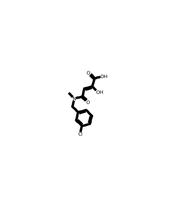 CN(Cc1cccc(Cl)c1)C(=O)/C=C(\O)C(=O)O